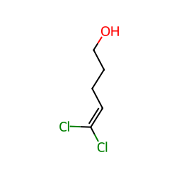 OCCCC=C(Cl)Cl